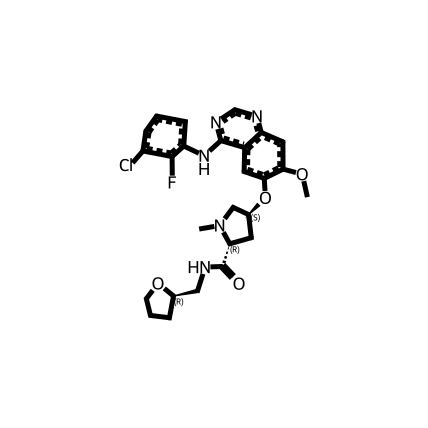 COc1cc2ncnc(Nc3cccc(Cl)c3F)c2cc1O[C@H]1C[C@H](C(=O)NC[C@H]2CCCO2)N(C)C1